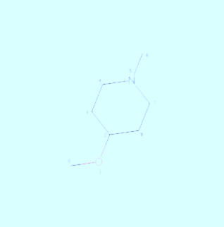 COC1C[CH]N(C)CC1